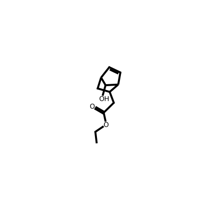 CCOC(=O)CC1CC2C=CC1C2O